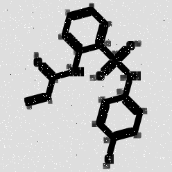 C=CC(=O)Nc1ccccc1S(=O)(=O)Nc1ccc(Cl)cc1